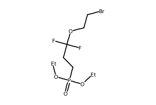 CCOP(=O)(CCC(F)(F)OCCBr)OCC